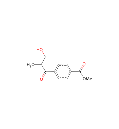 COC(=O)c1ccc(C(=O)C(C)CO)cc1